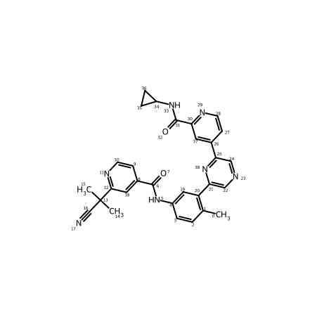 Cc1ccc(NC(=O)c2ccnc(C(C)(C)C#N)c2)cc1-c1cncc(-c2ccnc(C(=O)NC3CC3)c2)n1